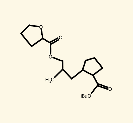 CC(C)COC(=O)C1CCCC1CC(C)COC(=O)C1CCCO1